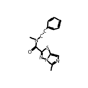 Cc1ncc2sc(C(=O)N(C)CCc3ccccc3)nn12